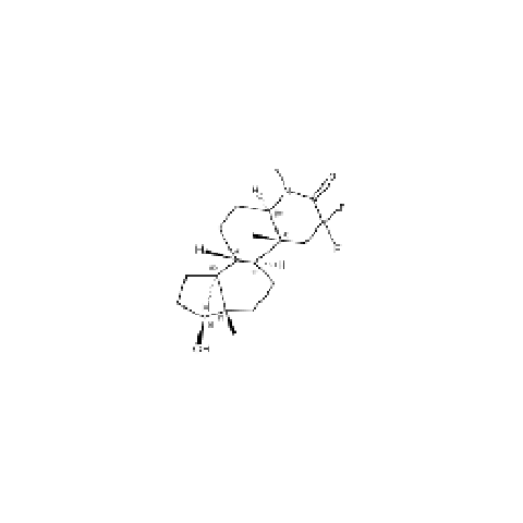 CN1C(=O)C(F)(F)C[C@]2(C)[C@H]3CC[C@]4(C)[C@@H](O)CC[C@H]4[C@@H]3CC[C@@H]12